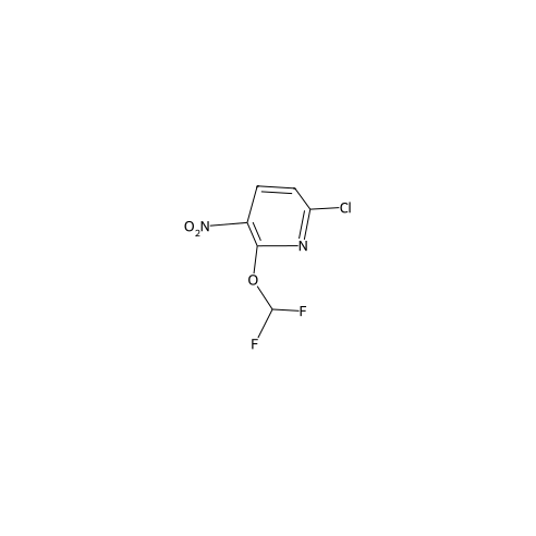 O=[N+]([O-])c1ccc(Cl)nc1OC(F)F